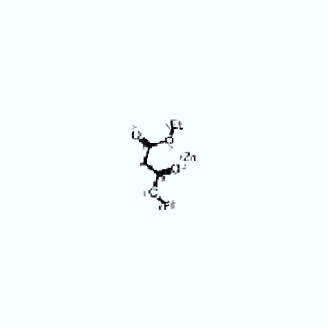 CCOC(=O)CC(=O)OCC.[Zn]